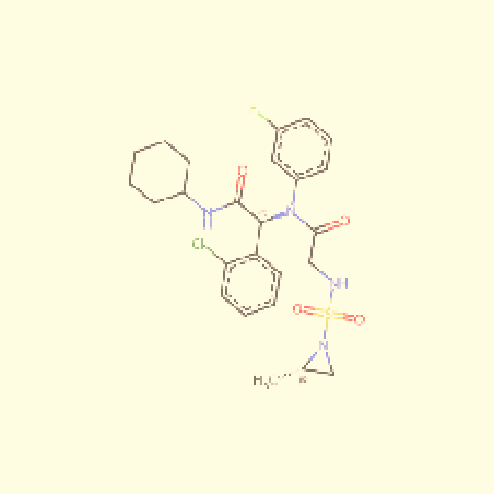 C[C@H]1CN1S(=O)(=O)NCC(=O)N(c1cccc(F)c1)[C@H](C(=O)NC1CCCCC1)c1ccccc1Cl